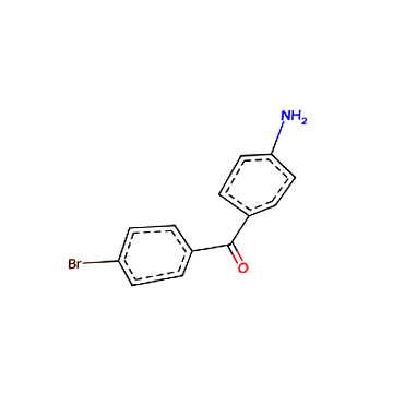 Nc1ccc(C(=O)c2ccc(Br)cc2)cc1